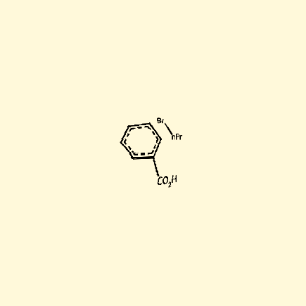 CCCBr.O=C(O)c1ccccc1